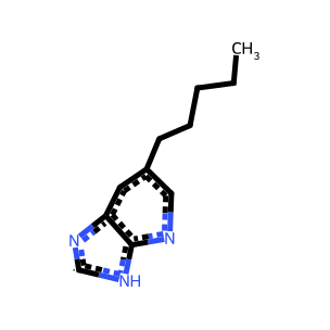 CCCCCc1cnc2[nH][c]nc2c1